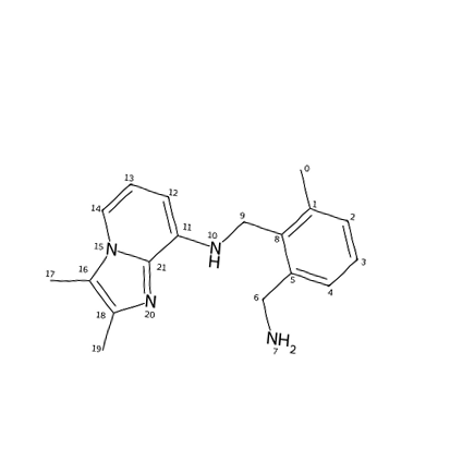 Cc1cccc(CN)c1CNc1cccn2c(C)c(C)nc12